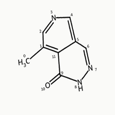 Cc1cncc2cn[nH]c(=O)c12